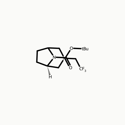 CC(C)(C)OC(=O)N1C2CC[C@@H]1CN(CC(F)(F)F)C2